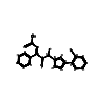 CN(C(=O)C(=CC(=O)O)c1ccccc1)c1nc(-c2ccccc2Cl)cs1